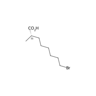 C[C@@H](CCCCCCBr)C(=O)O